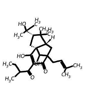 CCC(C)C(=O)C1=C(O)[C@@]23C[C@H](C(C)(C)O)C(C)(C)[C@@H]2CC(CC=C(C)C)(C1=O)C3O